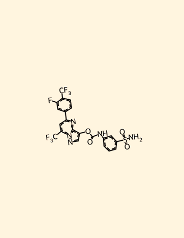 NS(=O)(=O)c1cccc(NC(=O)Oc2cnn3c(C(F)(F)F)cc(-c4ccc(C(F)(F)F)c(F)c4)nc23)c1